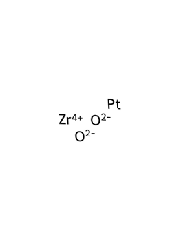 [O-2].[O-2].[Pt].[Zr+4]